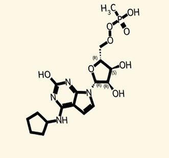 CP(=O)(O)OOC[C@H]1O[C@@H](n2ccc3c(NC4CCCC4)nc(O)nc32)[C@H](O)[C@@H]1O